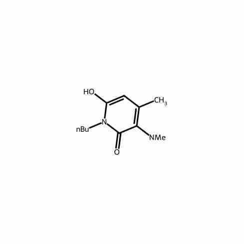 CCCCn1c(O)cc(C)c(NC)c1=O